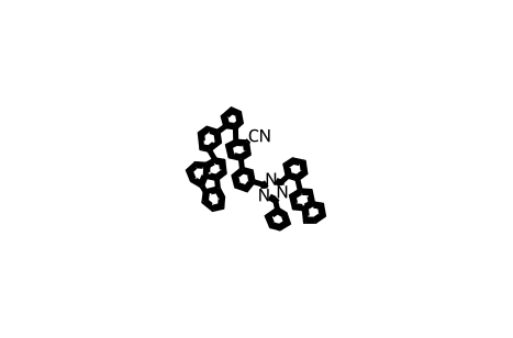 N#Cc1cc(-c2cccc(-c3nc(-c4ccccc4)nc(-c4ccccc4-c4ccc5ccccc5c4)n3)c2)ccc1-c1ccccc1-c1cccc(-c2ccc3c4c(cccc24)-c2ccccc2-3)c1